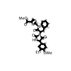 CCc1cc(C2NC(=O)N(C(Cc3ccccc3)C(=O)Nc3nc(C(=O)OC)cs3)C2=O)ccc1OC